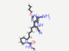 CCCCOc1nc(N)c2[nH]c(C#N)c(CCCCC3CCCCN3C(=O)NC)c2n1